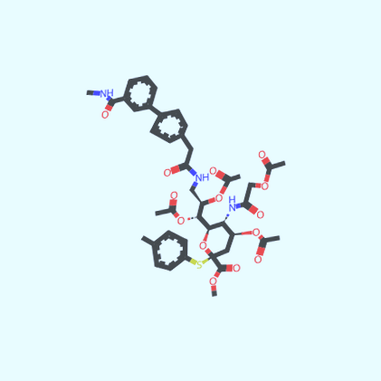 CNC(=O)c1cccc(-c2ccc(CC(=O)NC[C@@H](OC(C)=O)[C@@H](OC(C)=O)[C@@H]3O[C@@](Sc4ccc(C)cc4)(C(=O)OC)C[C@H](OC(C)=O)[C@H]3NC(=O)COC(C)=O)cc2)c1